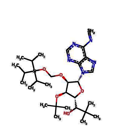 CC(C)[Si](OCO[C@@H]1[C@H](OC(C)(C)C)[C@@H](C(O)C(C)(C)C)O[C@H]1n1cnc2c(N=[SiH2])ncnc21)(C(C)C)C(C)C